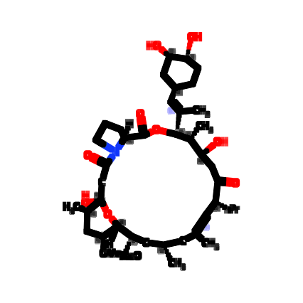 CCC[C@@H]1/C=C(\C)C[C@H](C)C[C@H](OC)[C@H]2O[C@@](O)(CC(=O)N3CCC[C@H]3C(=O)O[C@H](/C(C)=C/[C@@H]3CC[C@@H](O)[C@H](O)C3)[C@H](C)[C@@H](O)CC1=O)[C@H](C)C[C@@H]2OC